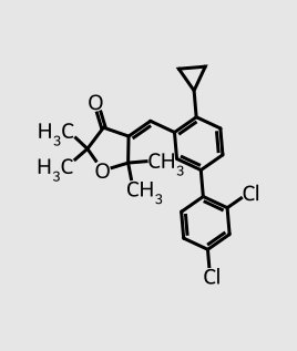 CC1(C)OC(C)(C)C(=Cc2cc(-c3ccc(Cl)cc3Cl)ccc2C2CC2)C1=O